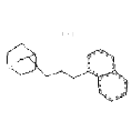 Cl.c1ccc2c(CCCC3CN4CCC3CC4)cccc2c1